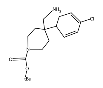 CC(C)(C)OC(=O)N1CCC(CN)(C2C=CC(Cl)=CC2)CC1